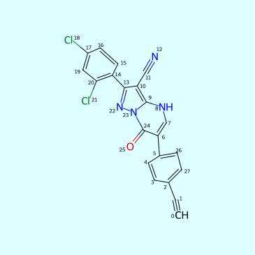 C#Cc1ccc(-c2c[nH]c3c(C#N)c(-c4ccc(Cl)cc4Cl)nn3c2=O)cc1